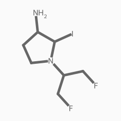 NC1CCN(C(CF)CF)C1I